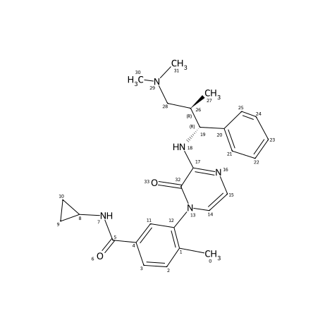 Cc1ccc(C(=O)NC2CC2)cc1-n1ccnc(N[C@@H](c2ccccc2)[C@H](C)CN(C)C)c1=O